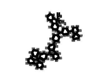 CC1(C)c2ccccc2-c2ccc(N(c3ccc(-c4ccc5c(c4)c4ccccc4n5-c4ccc(C5(c6ccccc6)c6ccccc6-c6ccccc65)cc4)cc3)c3ccc(-c4cccc5ccccc45)cc3)cc21